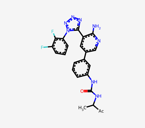 CC(=O)C(C)NC(=O)Nc1cccc(-c2cnc(N)c(-c3nnnn3-c3cccc(F)c3F)c2)c1